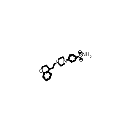 NS(=O)(=O)c1ccc(N2CCN(CCC3CCOc4ccccc43)CC2)cc1